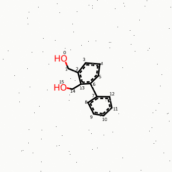 OCc1cccc(-c2ccccc2)c1CO